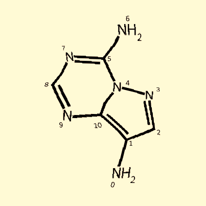 Nc1cnn2c(N)ncnc12